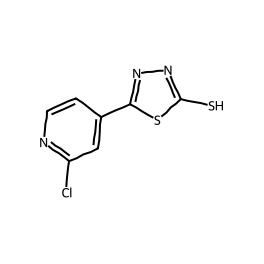 Sc1nnc(-c2ccnc(Cl)c2)s1